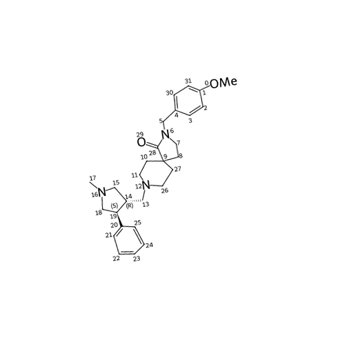 COc1ccc(CN2CCC3(CCN(C[C@H]4CN(C)C[C@@H]4c4ccccc4)CC3)C2=O)cc1